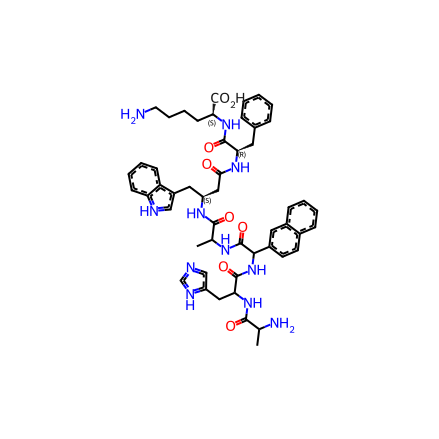 CC(N)C(=O)NC(Cc1cnc[nH]1)C(=O)NC(C(=O)NC(C)C(=O)N[C@H](CC(=O)N[C@H](Cc1ccccc1)C(=O)N[C@@H](CCCCN)C(=O)O)Cc1c[nH]c2ccccc12)c1ccc2ccccc2c1